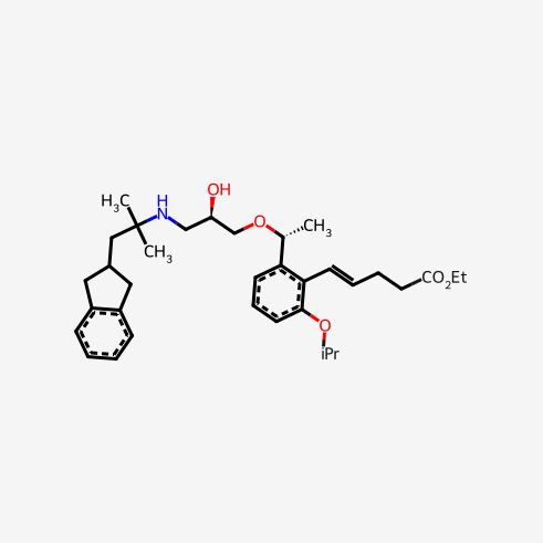 CCOC(=O)CC/C=C/c1c(OC(C)C)cccc1[C@@H](C)OC[C@H](O)CNC(C)(C)CC1Cc2ccccc2C1